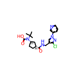 CC(C)(C)N(C(=O)O)[C@H]1CC[C@@H](C(=O)NCc2cn(-c3cccnc3)nc2Cl)C1